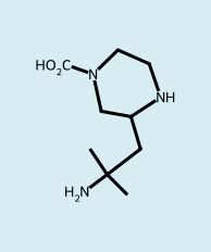 CC(C)(N)CC1CN(C(=O)O)CCN1